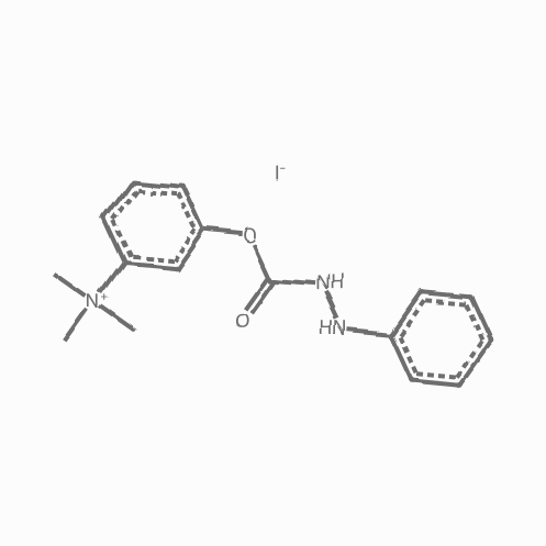 C[N+](C)(C)c1cccc(OC(=O)NNc2ccccc2)c1.[I-]